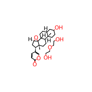 C[C@]12CC[C@H](O)C[C@H]1CC[C@@H]1[C@@H]2CC[C@]2(C)[C@@H](c3ccc(=O)oc3)C[C@H]3O[C@]132.OCCOCCO